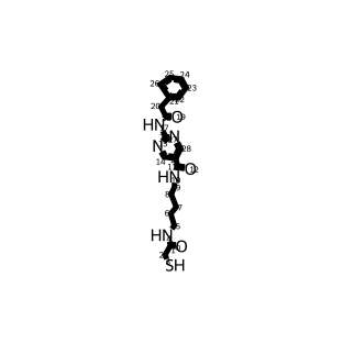 O=C(CS)NCCCCCNC(=O)c1cnc(NC(=O)Cc2ccccc2)nc1